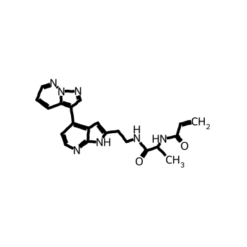 C=CC(=O)NC(C)C(=O)NCCc1cc2c(-c3cnn4ncccc34)ccnc2[nH]1